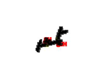 CCCCC(CCC)CCCCSC(CCCCCC(SCCCCC(CCC)CCCC)C(C)C(=O)O)C(C)C(=O)O